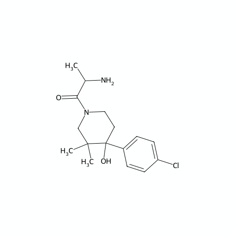 CC(N)C(=O)N1CCC(O)(c2ccc(Cl)cc2)C(C)(C)C1